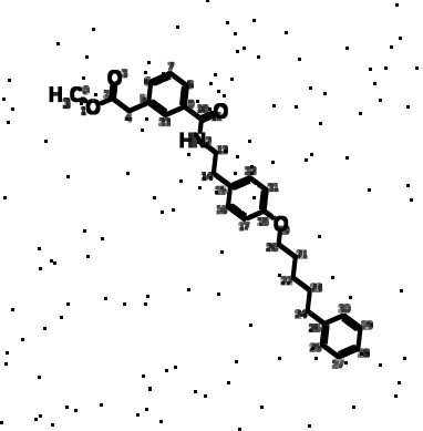 COC(=O)Cc1cccc(C(=O)NCCc2ccc(OCCCCCc3ccccc3)cc2)c1